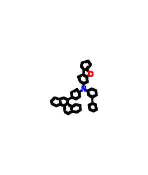 c1ccc(-c2cccc(N(c3ccc(-c4cc5ccccc5c5ccc6ccccc6c45)cc3)c3ccc4c(c3)oc3ccccc34)c2)cc1